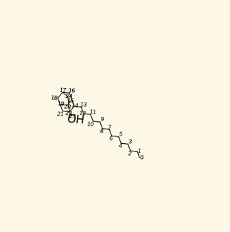 CCCCCCCCCCCCCCC1C2CC3CC(C2)CC1(O)C3